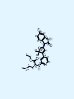 CCOC(=O)[C@H](CCSC)Nc1cc(C2=C/C(=C3\C(=O)Nc4cc(F)ccc43)OC2(C)C)ccn1